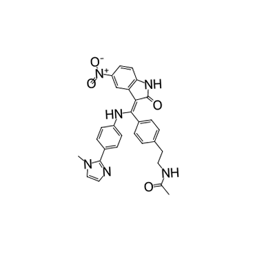 CC(=O)NCCc1ccc(C(Nc2ccc(-c3nccn3C)cc2)=C2C(=O)Nc3ccc([N+](=O)[O-])cc32)cc1